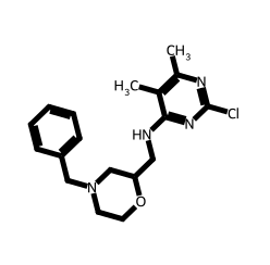 Cc1nc(Cl)nc(NCC2CN(Cc3ccccc3)CCO2)c1C